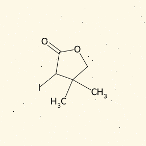 CC1(C)COC(=O)C1I